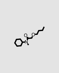 CCCCOCC(=O)N(C)C1CCCCC1